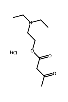 CCN(CC)CCOC(=O)CC(C)=O.Cl